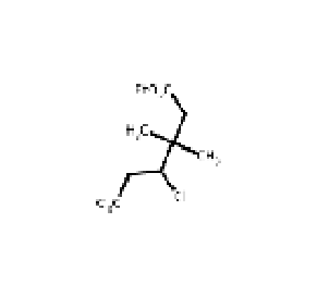 CCOC(=O)CC(C)(C)C(Cl)CC(Cl)(Cl)Cl